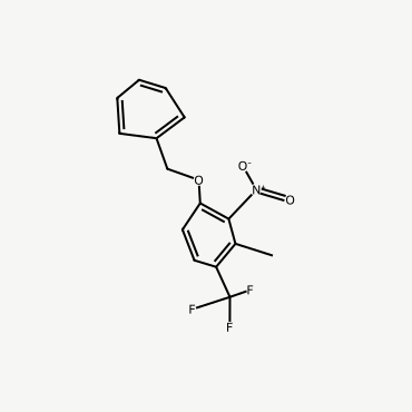 Cc1c(C(F)(F)F)ccc(OCc2ccccc2)c1[N+](=O)[O-]